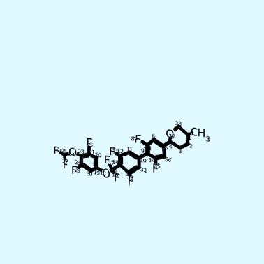 CC1CCC(c2cc(F)c(-c3cc(F)c(C(F)(F)Oc4cc(F)c(OC(F)F)c(F)c4)c(F)c3)c(F)c2)OC1